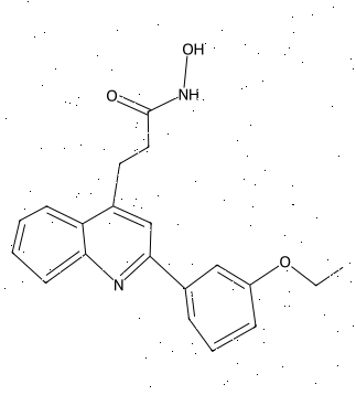 CCOc1cccc(-c2cc(CCC(=O)NO)c3ccccc3n2)c1